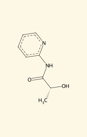 C[C@@H](O)C(=O)Nc1ccccn1